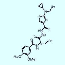 COc1ccc(C(=O)N[C@@H](CC(C)C)C(=O)NNC(=O)c2csc(N(CC(C)C)C3CC3)n2)cc1OC